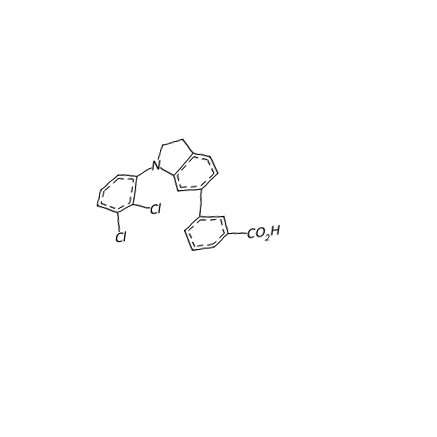 O=C(O)c1cccc(-c2ccc3c(c2)N(c2cccc(Cl)c2Cl)CC3)c1